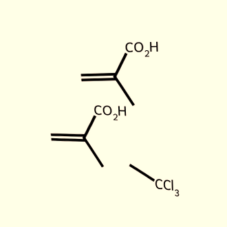 C=C(C)C(=O)O.C=C(C)C(=O)O.CC(Cl)(Cl)Cl